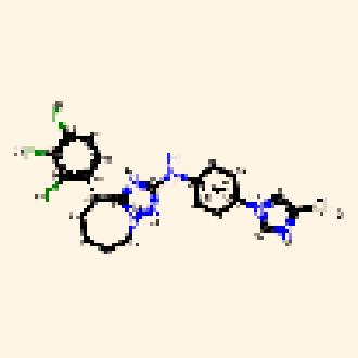 Cc1cn(C23CCC(Nc4nc5n(n4)CCCC[C@@H]5c4ccc(F)c(F)c4F)(CC2)CC3)cn1